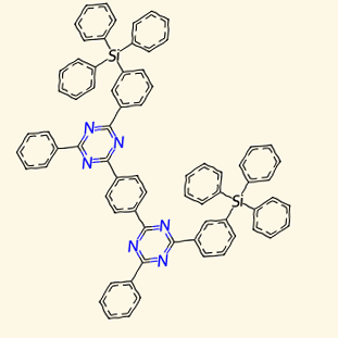 c1ccc(-c2nc(-c3ccc(-c4nc(-c5ccccc5)nc(-c5cccc([Si](c6ccccc6)(c6ccccc6)c6ccccc6)c5)n4)cc3)nc(-c3cccc([Si](c4ccccc4)(c4ccccc4)c4ccccc4)c3)n2)cc1